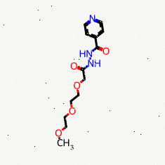 COCCOCCOCC(=O)NNC(=O)c1ccncc1